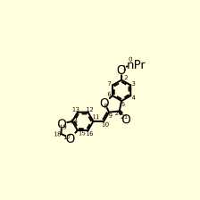 CCCOc1ccc2c(c1)OC(=Cc1ccc3c(c1)OCO3)C2=O